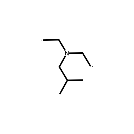 [CH2]CN(C[CH2])CC(C)C